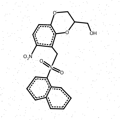 O=[N+]([O-])c1ccc2c(c1CS(=O)(=O)c1cccc3ccccc13)OC(CO)CO2